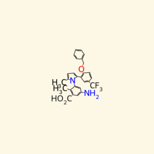 Cc1c(C(=O)O)cc(N)cc1-n1c(C)ccc1-c1cc(C(F)(F)F)ccc1OCc1ccccc1